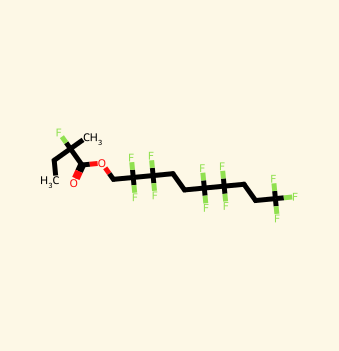 CCC(C)(F)C(=O)OCC(F)(F)C(F)(F)CCC(F)(F)C(F)(F)CCC(F)(F)F